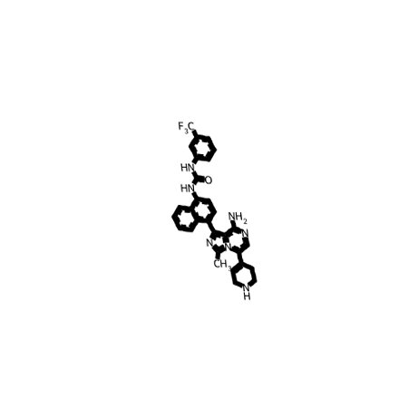 Cc1nc(-c2ccc(NC(=O)Nc3cccc(C(F)(F)F)c3)c3ccccc23)c2c(N)ncc(C3=CCNCC3)n12